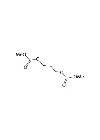 COC(=O)OCCCOC(=O)OC